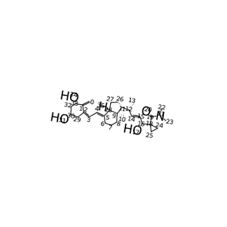 C=C1/C(=C\C=C2/CCC[C@]3(C)[C@@H]([C@H](C)/C=C/[C@@H](O)C4(C(=O)N(C)C)CC4)CC[C@@H]23)C[C@@H](O)C[C@@H]1O